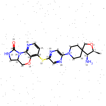 C[C@@H]1OCC2(CCN(c3cnc(Sc4ccnc5c4OCC4CNC(=O)N54)cn3)CC2)[C@@H]1N